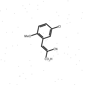 COc1ccc(Cl)cc1/C=C(\C#N)C(=O)O